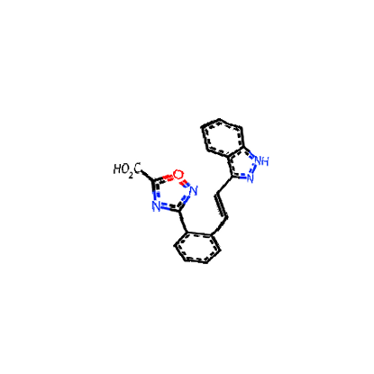 O=C(O)c1nc(-c2ccccc2/C=C/c2n[nH]c3ccccc23)no1